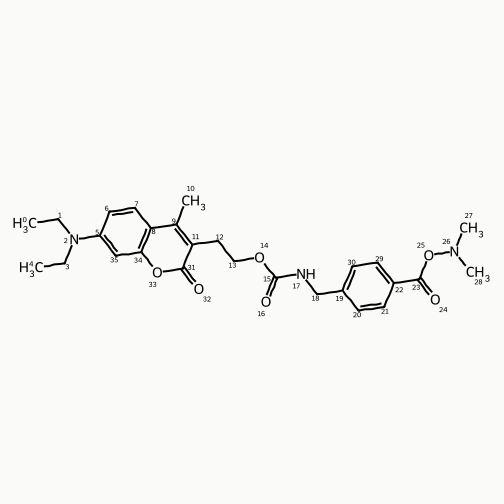 CCN(CC)c1ccc2c(C)c(CCOC(=O)NCc3ccc(C(=O)ON(C)C)cc3)c(=O)oc2c1